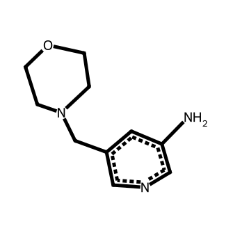 Nc1cncc(CN2CCOCC2)c1